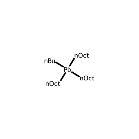 CCCCCCC[CH2][Pb]([CH2]CCC)([CH2]CCCCCCC)[CH2]CCCCCCC